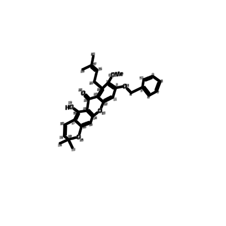 COc1c(OCc2ccccc2)cc2oc3cc4c(c(O)c3c(=O)c2c1CC=C(C)C)C=CC(C)(C)O4